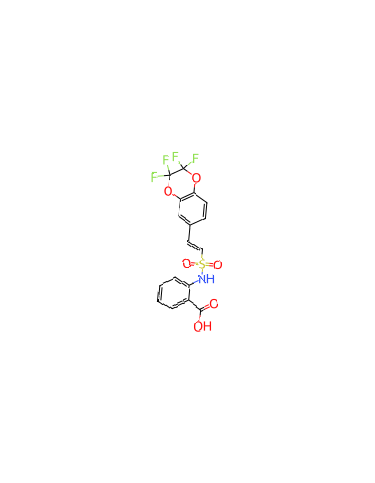 O=C(O)c1ccccc1NS(=O)(=O)/C=C/c1ccc2c(c1)OC(F)(F)C(F)(F)O2